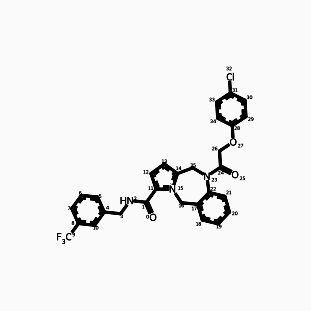 O=C(NCc1cccc(C(F)(F)F)c1)c1ccc2n1Cc1ccccc1N(C(=O)COc1ccc(Cl)cc1)C2